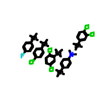 CN(C)c1cc[c]([Sn]([CH3])([CH3])[CH3])cc1.[CH3][Sn]([CH3])([CH3])[c]1cc(Cl)ccc1Cl.[CH3][Sn]([CH3])([CH3])[c]1ccc(Cl)c(Cl)c1.[CH3][Sn]([CH3])([CH3])[c]1ccc(Cl)cc1.[CH3][Sn]([CH3])([CH3])[c]1ccc(F)cc1